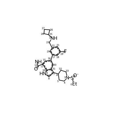 CC[S+]([O-])N1CCC(c2c[nH]c3c(C(N)=O)cc(-c4cc(F)cc(CNC5CCC5)c4)cc23)CC1